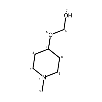 CN1CCC(OCO)CC1